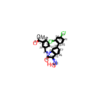 COC(=O)c1cccc(CN2C(=O)/C(=N\O)c3ccc(-c4ccc(Cl)cc4Cl)cc32)c1